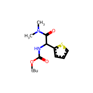 CN(C)C(=O)C(NC(=O)OC(C)(C)C)c1cccs1